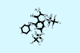 CC(C)C(=N)c1c(OS(=O)(=O)C(F)(F)F)cc(OS(=O)(=O)C(F)(F)F)nc1NC1CCCCC1